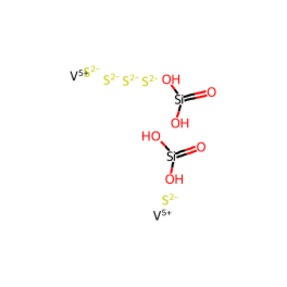 O=[Si](O)O.O=[Si](O)O.[S-2].[S-2].[S-2].[S-2].[S-2].[V+5].[V+5]